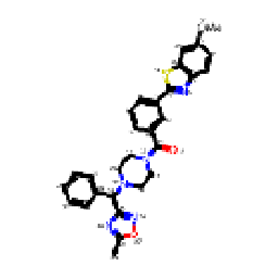 COc1ccc2nc(-c3cccc(C(=O)N4CCN(C(c5ccccc5)c5noc(C)n5)CC4)c3)sc2c1